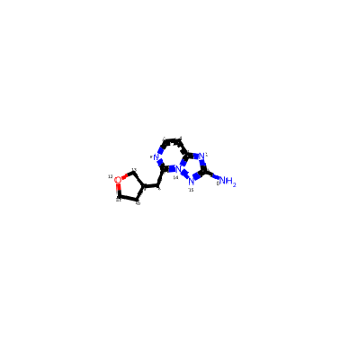 Nc1nc2ccnc(CC3CCOC3)n2n1